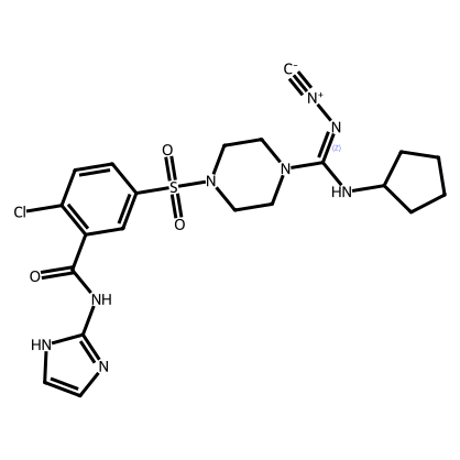 [C-]#[N+]/N=C(/NC1CCCC1)N1CCN(S(=O)(=O)c2ccc(Cl)c(C(=O)Nc3ncc[nH]3)c2)CC1